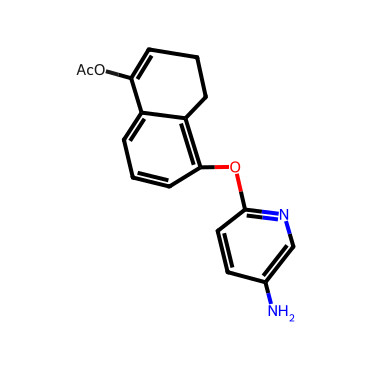 CC(=O)OC1=CCCc2c(Oc3ccc(N)cn3)cccc21